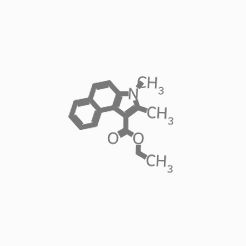 CCOC(=O)c1c(C)n(C)c2ccc3ccccc3c12